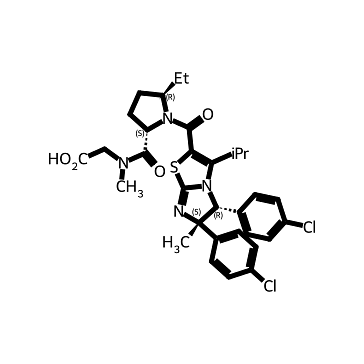 CC[C@@H]1CC[C@@H](C(=O)N(C)CC(=O)O)N1C(=O)C1=C(C(C)C)N2C(=N[C@@](C)(c3ccc(Cl)cc3)[C@H]2c2ccc(Cl)cc2)S1